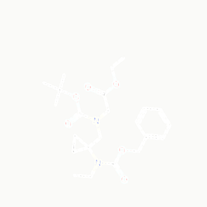 CCOC(=O)CN(CC1(N(CC)C(=O)OCc2ccccc2)CC1)C(=O)OC(C)(C)C